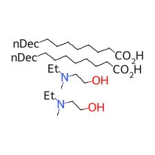 CCCCCCCCCCCCCCCCCC(=O)O.CCCCCCCCCCCCCCCCCC(=O)O.CCN(C)CCO.CCN(C)CCO